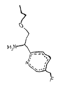 CCOCC(N)c1ccc(F)cn1